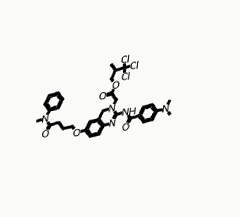 CC(COC(=O)CN1Cc2cc(OCCCC(=O)N(C)c3ccccc3)ccc2N=C1NC(=O)c1ccc(N(C)C)cc1)C(Cl)(Cl)Cl